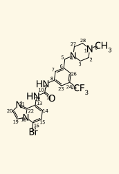 CN1CCN(Cc2cc(NC(=O)Nc3ccc(Br)n4ccnc34)cc(C(F)(F)F)c2)CC1